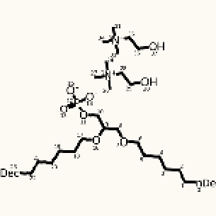 CCCCCCCCCCCCCCCCOCC(COP(=O)([O-])[O-])OCCCCCCCCCCCCCCCC.C[N+](C)(C)CCO.C[N+](C)(C)CCO